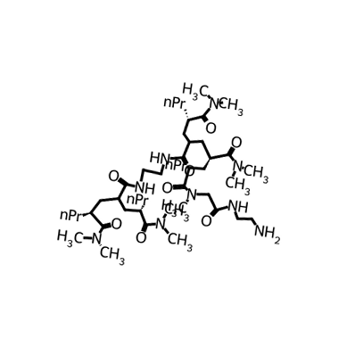 CCCC(C[C@@H](CC(C[C@H](CCC)C(=O)N(C)C)C(=O)NCCNC(=O)C(C[C@H](CCC)C(=O)N(C)C)C[C@H](CCC)C(=O)N(C)C)C(=O)N(C)C)C(=O)N(C)CC(=O)NCCN